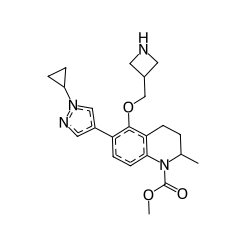 COC(=O)N1c2ccc(-c3cnn(C4CC4)c3)c(OCC3CNC3)c2CCC1C